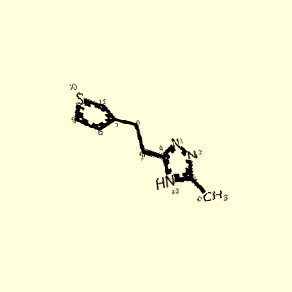 Cc1nnc([CH]Cc2ccsc2)[nH]1